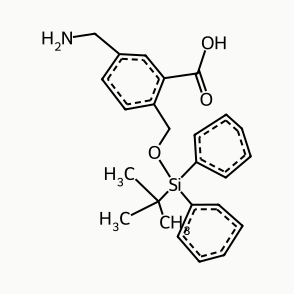 CC(C)(C)[Si](OCc1ccc(CN)cc1C(=O)O)(c1ccccc1)c1ccccc1